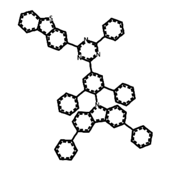 c1ccc(-c2ccc3c(c2)c2cc(-c4ccccc4)ccc2n3-c2c(-c3ccccc3)cc(-c3nc(-c4ccccc4)nc(-c4ccc5c(c4)sc4ccccc45)n3)cc2-c2ccccc2)cc1